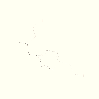 CCCc1ccc(CC(C)=COC)cc1